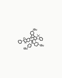 CC(C)(C)c1ccc(N2B3c4cc5nc(-c6ccccc6)oc5cc4-n4c5ccc(C(C)(C)C)cc5c5c6c(c(c3c54)-c3cc(C(C)(C)C)ccc32)-c2ccccc2C6(C)C)cc1